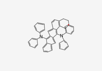 c1ccc(N(c2ccccc2)c2c3ccccc3cc3c(N(c4ccccc4)c4ccccc4)c4c5c(ccc4cc23)CCCC5)cc1